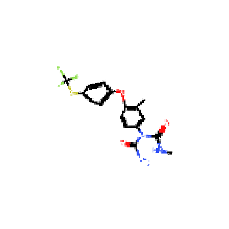 CNC(=O)N(C(N)=O)c1ccc(Oc2ccc(SC(F)(F)F)cc2)c(C)c1